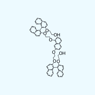 OCCOc1ccc2ccccc2c1-c1c(OCCOc2ccc3cccc(OCCOc4ccc5ccccc5c4-c4c(OCCO)ccc5ccccc45)c3c2)ccc2ccccc12